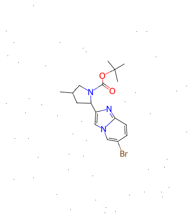 CC1CC(c2cn3cc(Br)ccc3n2)N(C(=O)OC(C)(C)C)C1